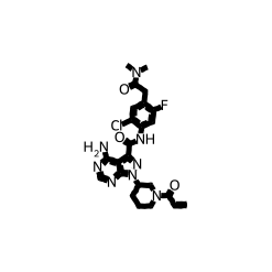 C=CC(=O)N1CCCC(n2nc(C(=O)Nc3cc(F)c(CC(=O)N(C)C)cc3Cl)c3c(N)ncnc32)C1